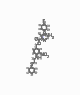 C=N/C(C(=O)OCc1ccc(NCCSc2ccccc2)c([N+](=O)[O-])c1)=C(/C)N(N)c1ccc(F)cc1